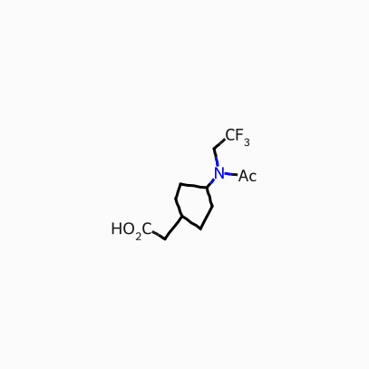 CC(=O)N(CC(F)(F)F)C1CCC(CC(=O)O)CC1